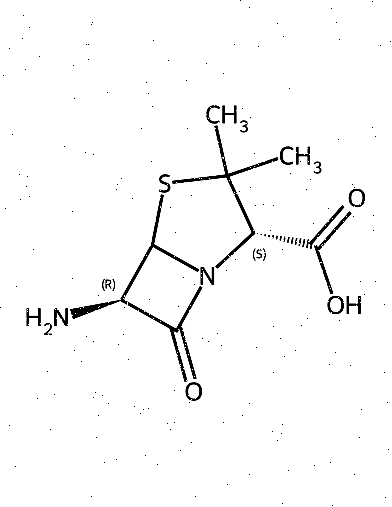 CC1(C)SC2[C@H](N)C(=O)N2[C@H]1C(=O)O